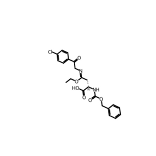 CCOC(C[C@H](NC(=O)OCc1ccccc1)C(=O)O)=NCC(=O)c1ccc(Cl)cc1